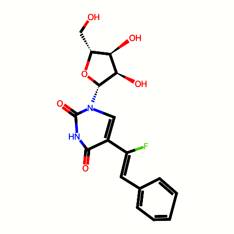 O=c1[nH]c(=O)n([C@@H]2O[C@H](CO)[C@@H](O)[C@H]2O)cc1C(F)=Cc1ccccc1